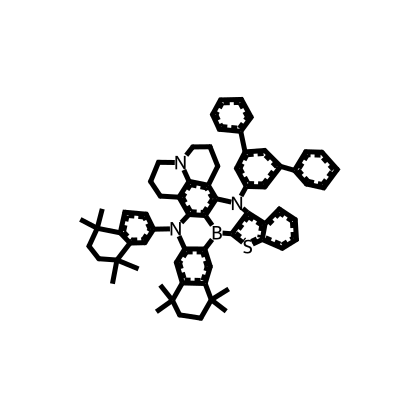 CC1(C)CCC(C)(C)c2cc(N3c4cc5c(cc4B4c6sc7ccccc7c6N(c6cc(-c7ccccc7)cc(-c7ccccc7)c6)c6c7c8c(c3c64)CCCN8CCC7)C(C)(C)CCC5(C)C)ccc21